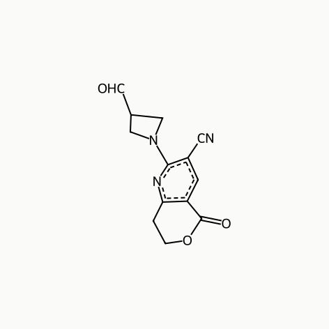 N#Cc1cc2c(nc1N1CC(C=O)C1)CCOC2=O